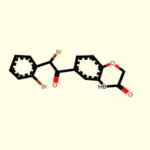 O=C1Bc2cc(C(=O)C(Br)c3ccccc3Br)ccc2OC1